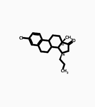 CCC[C@@H]1CC(=O)[C@@]2(C)CCC3c4ccc(Cl)cc4CCC3C12